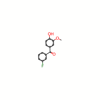 COc1cc(C(=O)c2cccc(F)c2)ccc1O